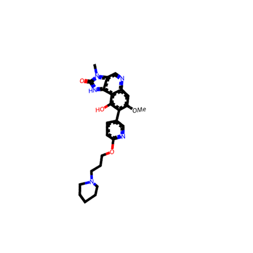 COc1cc2ncc3c([nH]c(=O)n3C)c2c(O)c1-c1ccc(OCCCN2CCCCC2)nc1